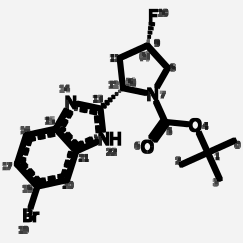 CC(C)(C)OC(=O)N1C[C@@H](F)C[C@H]1c1nc2ccc(Br)cc2[nH]1